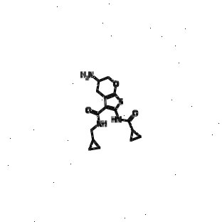 NC1COc2sc(NC(=O)C3CC3)c(C(=O)NCC3CC3)c2C1